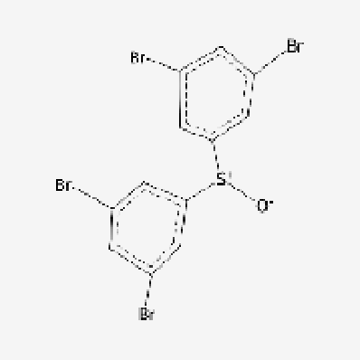 [O-][S+](c1cc(Br)cc(Br)c1)c1cc(Br)cc(Br)c1